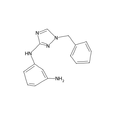 Nc1cccc(Nc2ncn(Cc3ccccc3)n2)c1